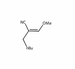 CCCCCC(C#N)=COC